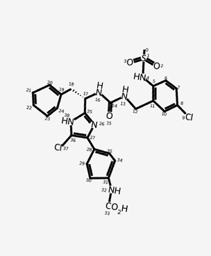 CS(=O)(=O)Nc1ccc(Cl)cc1CNC(=O)N[C@@H](Cc1ccccc1)c1nc(-c2ccc(NC(=O)O)cc2)c(Cl)[nH]1